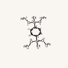 CCCO[Si](CC)(OCCC)c1ccc([Si](CC)(OCCC)OCCC)cc1